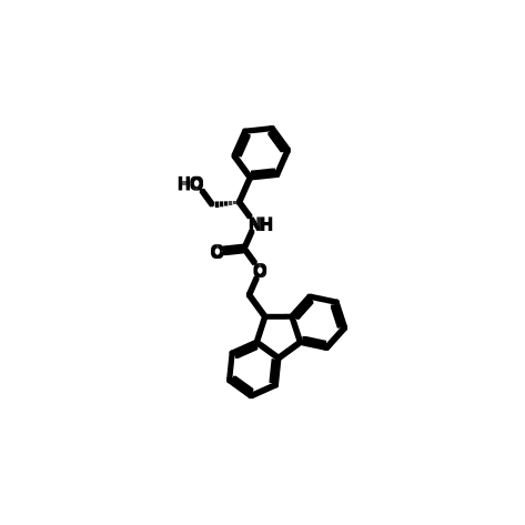 O=C(N[C@H](CO)c1ccccc1)OCC1c2ccccc2-c2ccccc21